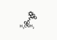 C=C(C)C(=O)OCCCc1cc(=O)oc2ccccc12